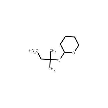 CC(C)(CC(=O)O)SC1CCCCO1